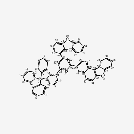 c1ccc([Si](c2ccccc2)(c2ccccc2)c2cccc(-c3nc(-c4ccc5c(ccc6oc7ccccc7c65)c4)nc(-c4cccc5oc6ccccc6c45)n3)c2)cc1